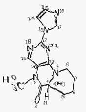 CN1C(=O)[C@H]2CCCCN2c2nc(-n3ccnc3)ncc21